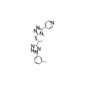 Cc1cccc(-n2nnc(C(C)Sc3nnc(-c4ccncc4)n3C)n2)c1